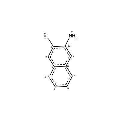 CCc1cc2ncccc2cc1N